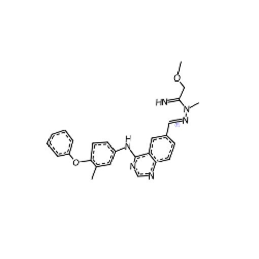 COCC(=N)N(C)/N=C/c1ccc2ncnc(Nc3ccc(Oc4ccccc4)c(C)c3)c2c1